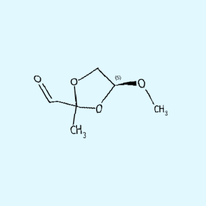 CO[C@@H]1COC(C)(C=O)O1